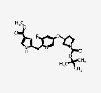 COC(=O)c1c[nH]c(Cc2ncc(O[C@H]3CCN(C(=O)OC(C)(C)C)C3)cc2F)c1